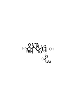 CC(C)[C@H](N)C(=O)Nc1ncnn2c([C@]3(C)O[C@H](CO)[C@@H](OCOC(=O)C(C)(C)C)[C@H]3O)ccc12